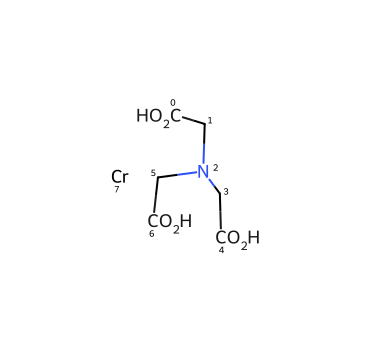 O=C(O)CN(CC(=O)O)CC(=O)O.[Cr]